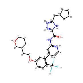 O=C(Nc1cc(-c2cc(OCCC3CCCOC3)ccc2C(F)(F)F)ccn1)c1nnc(CC2CCCC2)[nH]1